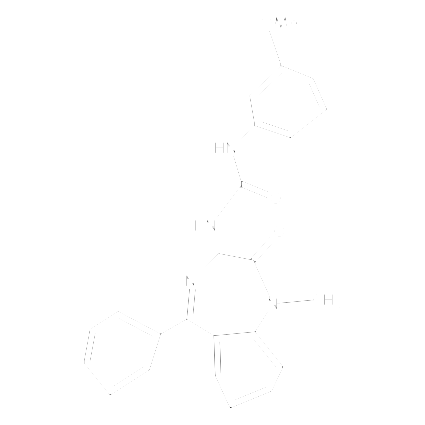 COc1cccc(NC(=O)N[C@H]2N=C(c3ccccc3)c3ccccc3N(C)C2=O)c1